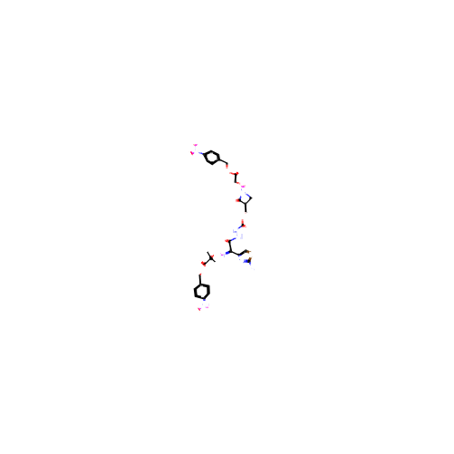 CC(C)(O/N=C(\C(=O)NNC(=O)OCC1CN(OCC(=O)OCc2ccc([N+](=O)[O-])cc2)C1=O)c1csc(N)n1)C(=O)OCc1ccc([N+](=O)[O-])cc1